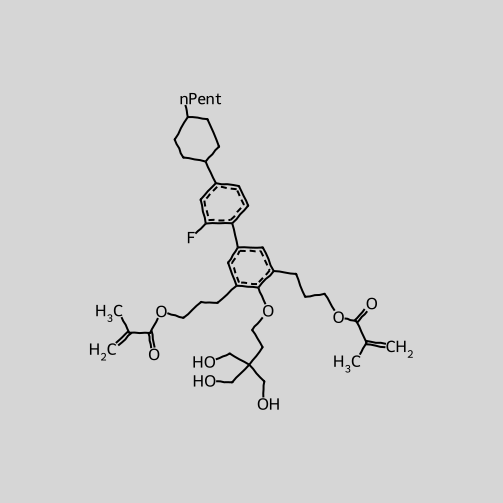 C=C(C)C(=O)OCCCc1cc(-c2ccc(C3CCC(CCCCC)CC3)cc2F)cc(CCCOC(=O)C(=C)C)c1OCCC(CO)(CO)CO